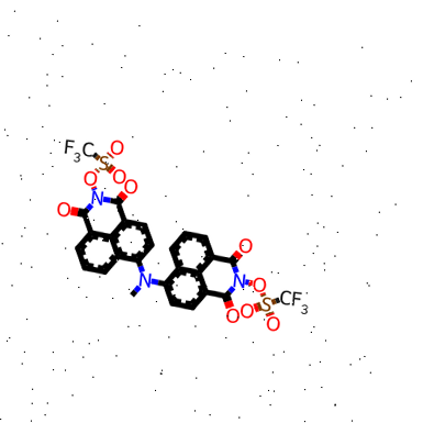 CN(c1ccc2c3c(cccc13)C(=O)N(OS(=O)(=O)C(F)(F)F)C2=O)c1ccc2c3c(cccc13)C(=O)N(OS(=O)(=O)C(F)(F)F)C2=O